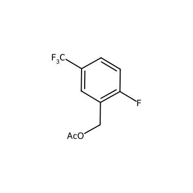 CC(=O)OCc1cc(C(F)(F)F)ccc1F